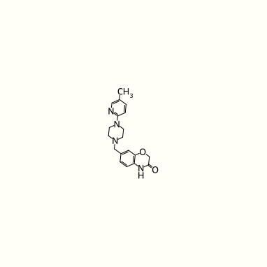 Cc1ccc(N2CCN(Cc3ccc4c(c3)OCC(=O)N4)CC2)nc1